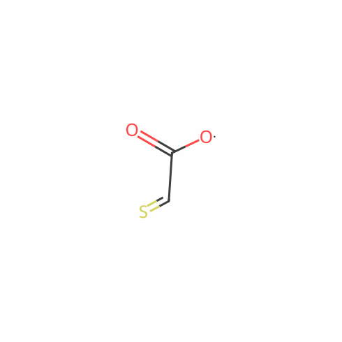 [O]C(=O)C=S